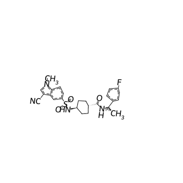 C[C@@H](NC(=O)[C@H]1CC[C@H](NS(=O)(=O)c2ccc3c(c2)c(C#N)cn3C)CC1)c1ccc(F)cc1